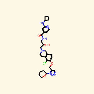 O=C(NCC(O)CN1CCc2c(ccc(OCc3cnnn3C3CCCCO3)c2Cl)C1)c1ccnc(NC2CCC2)c1